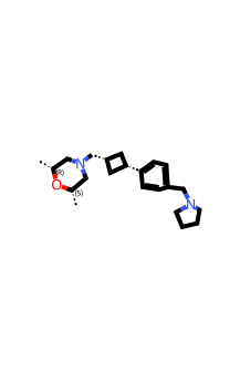 C[C@@H]1CN(C[C@H]2C[C@@H](c3ccc(CN4CCCC4)cc3)C2)C[C@H](C)O1